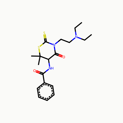 CCN(CC)CCN1C(=O)C(NC(=O)c2ccccc2)C(C)(C)SC1=S